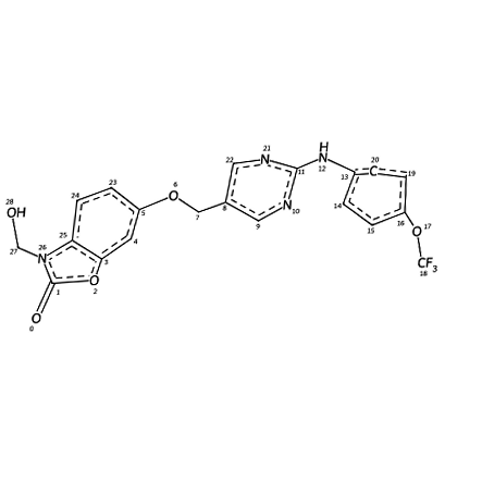 O=c1oc2cc(OCc3cnc(Nc4ccc(OC(F)(F)F)cc4)nc3)ccc2n1CO